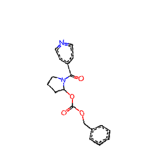 O=C(OCc1ccccc1)OC1CCCN1C(=O)c1ccncc1